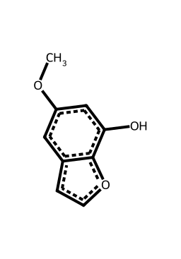 COc1cc(O)c2occc2c1